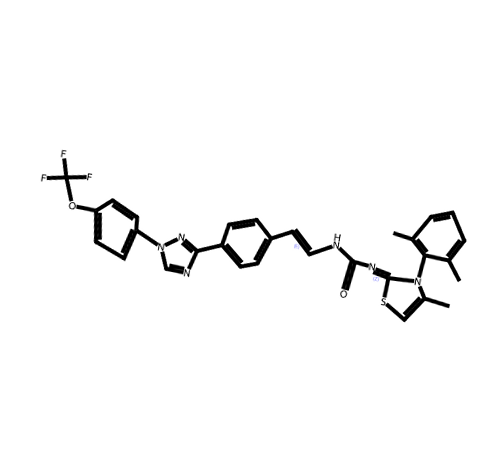 Cc1cccc(C)c1-n1c(C)cs/c1=N\C(=O)N/C=C/c1ccc(-c2ncn(-c3ccc(OC(F)(F)F)cc3)n2)cc1